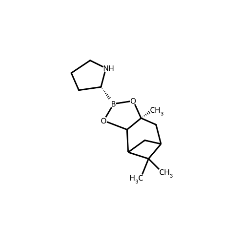 CC1(C)C2CC1C1OB([C@@H]3CCCN3)O[C@@]1(C)C2